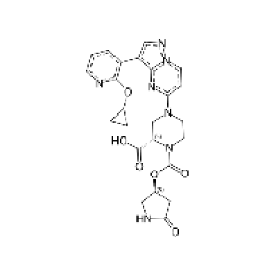 O=C1C[C@H](OC(=O)N2CCN(c3ccn4ncc(-c5cccnc5OC5CC5)c4n3)C[C@H]2C(=O)O)CN1